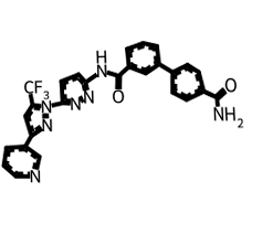 NC(=O)c1ccc(-c2cccc(C(=O)Nc3ccc(-n4nc(-c5cccnc5)cc4C(F)(F)F)nn3)c2)cc1